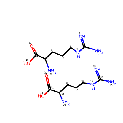 N=C(N)NCCCC(N)C(=O)O.N=C(N)NCCCC(N)C(=O)O